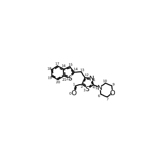 O=Cc1sc(N2CCOCC2)nc1Cc1cc2ccccc2s1